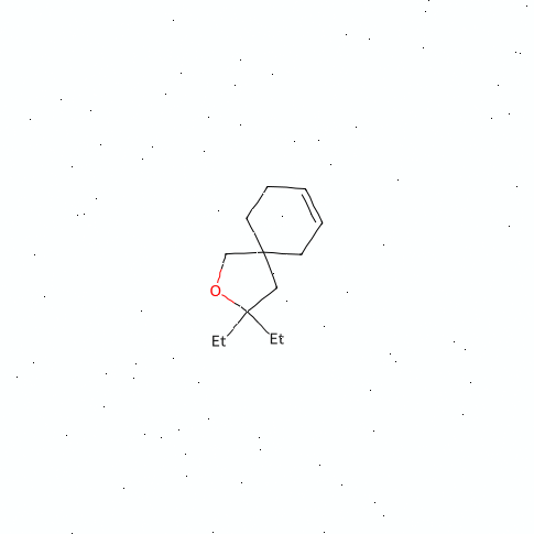 CCC1(CC)CC2(CC=CCC2)CO1